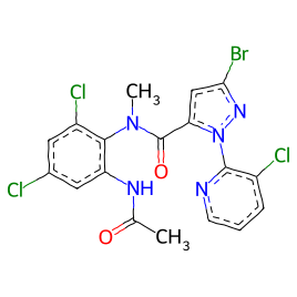 CC(=O)Nc1cc(Cl)cc(Cl)c1N(C)C(=O)c1cc(Br)nn1-c1ncccc1Cl